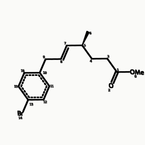 COC(=O)CC[C@H](C)/C=C/Cc1ccc(Br)cc1